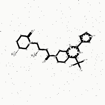 C[C@@H]1CCC(=O)N(C[C@@H](N)CC(=O)I2CCc3c(nc(-c4ccsc4)nc3C(F)(F)F)C2)C1